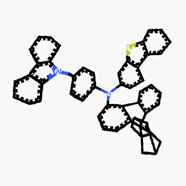 c1ccc2c(c1)-c1c(N(c3ccc(-n4c5ccccc5c5ccccc54)cc3)c3ccc4c(c3)sc3ccccc34)cccc1C21C23CC4CC(C2)CC31C4